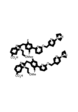 COCCn1c(Cc2cc(F)c(-c3cccc(OCc4ccc(-n5ccnc5)nc4)n3)cc2F)nc2ccc(C(=O)O)cc21.COCCn1c(Cc2cc(F)c(-c3cccc(OCc4ccc(-n5ccnc5)nc4)n3)cc2F)nc2ccc(C(=O)O)cc21